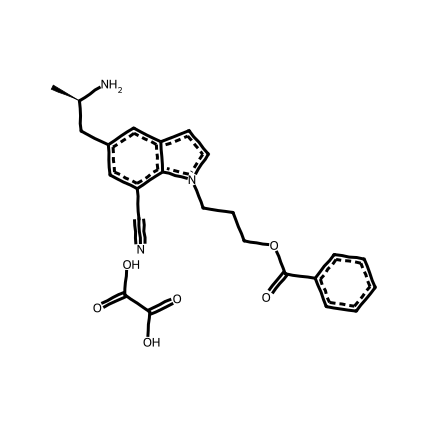 C[C@@H](N)Cc1cc(C#N)c2c(ccn2CCCOC(=O)c2ccccc2)c1.O=C(O)C(=O)O